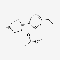 CCc1ccc(N2CCNCC2)cc1.COC(C)=O